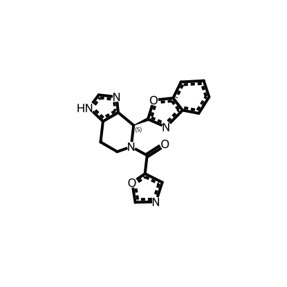 O=C(c1cnco1)N1CCc2[nH]cnc2[C@H]1c1nc2ccccc2o1